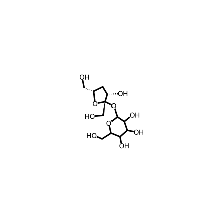 OCC1OC(O[C@]2(CO)O[C@H](CO)C[C@@H]2O)C(O)C(O)C1O